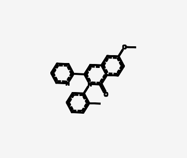 COc1ccc2c(=O)n(-c3ccccc3C)c(-c3ccccn3)cc2c1